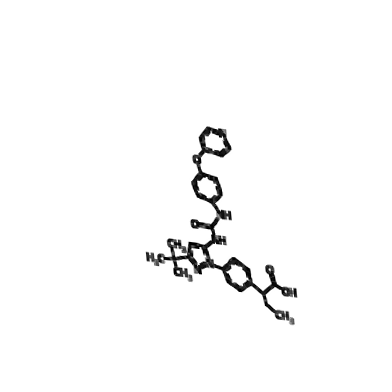 CCC(C(=O)O)c1ccc(-n2nc(C(C)(C)C)cc2NC(=O)Nc2ccc(Oc3ccncc3)cc2)cc1